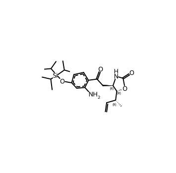 C=C[C@@H](C)[C@H]1OC(=O)N[C@@H]1CC(=O)c1ccc(O[Si](C(C)C)(C(C)C)C(C)C)cc1N